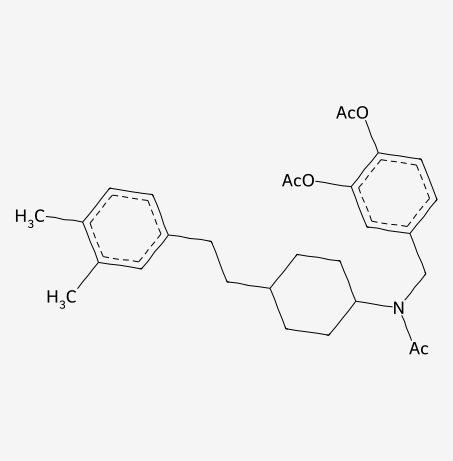 CC(=O)Oc1ccc(CN(C(C)=O)C2CCC(CCc3ccc(C)c(C)c3)CC2)cc1OC(C)=O